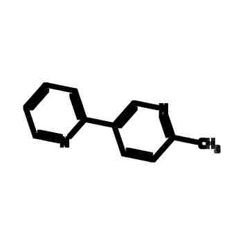 Cc1ccc(-c2ccccn2)cn1